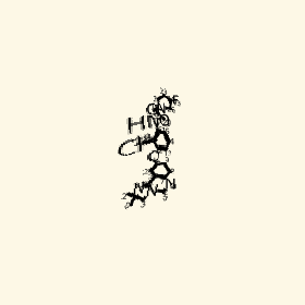 CC1(C)CN2C=Nc3ccc(Oc4cccc(NS(=O)(=O)N5CCC(F)C5)c4Cl)cc3C2=N1